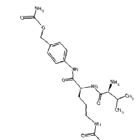 CC(C)[C@H](N)C(=O)N[C@@H](CCCNC(N)=O)C(=O)Nc1ccc(COC(N)=O)cc1